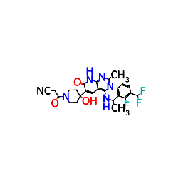 Cc1nc(N[C@H](C)c2cccc(C(F)F)c2F)c2cc(C3(O)CCN(C(=O)CC#N)CC3)c(=O)[nH]c2n1